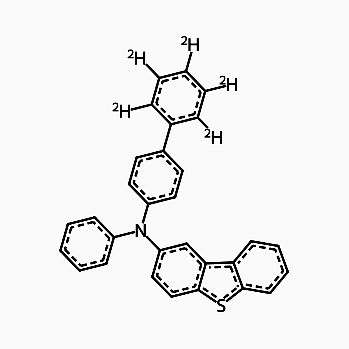 [2H]c1c([2H])c([2H])c(-c2ccc(N(c3ccccc3)c3ccc4sc5ccccc5c4c3)cc2)c([2H])c1[2H]